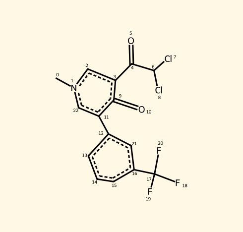 Cn1cc(C(=O)C(Cl)Cl)c(=O)c(-c2cccc(C(F)(F)F)c2)c1